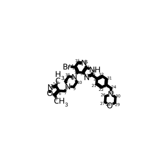 Cc1noc(C)c1CN1CCN(c2c(Br)cnc3[nH]c(-c4ccc(CN5CCOCC5)cc4)nc23)CC1